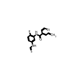 C=C/C=C(\C=C/CC)C(=O)Nc1cc(NC=S)ccc1F